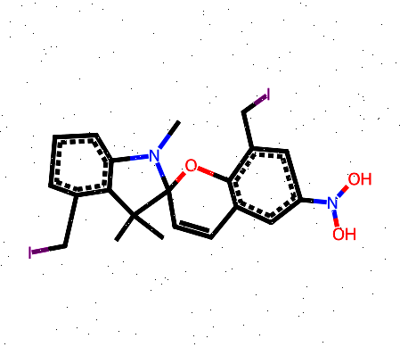 CN1c2cccc(CI)c2C(C)(C)C12C=Cc1cc(N(O)O)cc(CI)c1O2